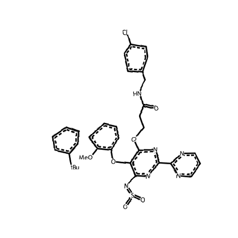 CC(C)(C)c1ccccc1.COc1ccccc1Oc1c(N=S(=O)=O)nc(-c2ncccn2)nc1OCCC(=O)NCc1ccc(Cl)cc1